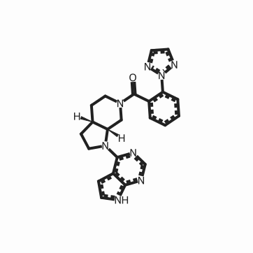 O=C(c1ccccc1-n1nccn1)N1CC[C@H]2CCN(c3ncnc4[nH]ccc34)[C@H]2C1